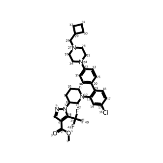 COC(=O)c1cnn(C2CCCN(c3cc(Cl)ccc3-c3ccc(N4CCN(CC5CCC5)CC4)cc3)C2)c1C(F)(F)F